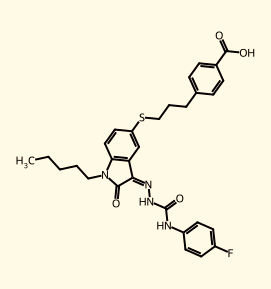 CCCCCN1C(=O)C(=NNC(=O)Nc2ccc(F)cc2)c2cc(SCCCc3ccc(C(=O)O)cc3)ccc21